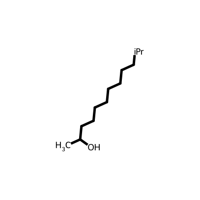 CC(C)CCCCCCCCC(C)O